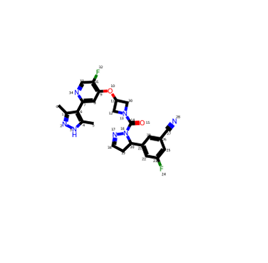 Cc1n[nH]c(C)c1-c1cc(OC2CN(C(=O)N3N=CCC3c3cc(F)cc(C#N)c3)C2)c(F)cn1